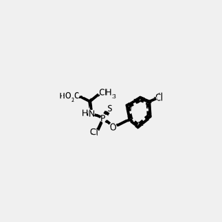 CC(NP(=S)(Cl)Oc1ccc(Cl)cc1)C(=O)O